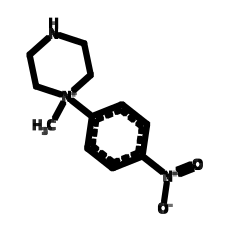 C[N+]1(c2ccc([N+](=O)[O-])cc2)CCNCC1